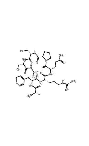 C[C@H](N)C(=O)N[C@@H](Cc1ccccc1)C(=O)N[C@@H](CCCNC(=N)N)C(=O)N[C@@H](CCC(N)=O)C(=O)N1CCC[C@H]1C(=O)N[C@@H](CO)C(=O)N[C@@H](CO)C(=O)N[C@@H](C)C(=O)O